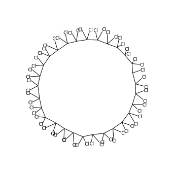 Cl[C]1C(Cl)(Cl)C(Cl)(Cl)C(Cl)(Cl)C(Cl)(Cl)C(Cl)(Cl)C(Cl)(Cl)C(Cl)(Cl)C(Cl)(Cl)C(Cl)(Cl)C(Cl)(Cl)C(Cl)(Cl)C(Cl)(Cl)C(Cl)(Cl)C(Cl)(Cl)C(Cl)(Cl)C(Cl)(Cl)C(Cl)(Cl)C(Cl)(Cl)C(Cl)(Cl)C(Cl)(Cl)C(Cl)(Cl)C(Cl)(Cl)C(Cl)(Cl)C(Cl)(Cl)C(Cl)(Cl)C(Cl)(Cl)C(Cl)(Cl)C1(Cl)Cl